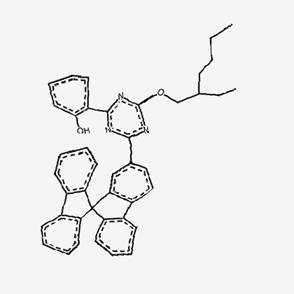 CCCCC(CC)COc1nc(-c2ccc3c(c2)C2(c4ccccc4-c4ccccc42)c2ccccc2-3)nc(-c2ccccc2O)n1